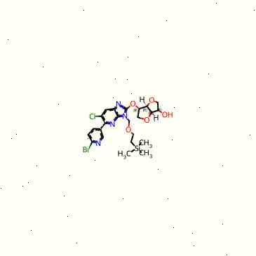 C[Si](C)(C)CCOCn1c(O[C@@H]2CO[C@H]3[C@@H]2OC[C@H]3O)nc2cc(Cl)c(-c3ccc(Br)nc3)nc21